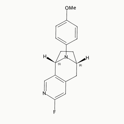 COc1ccc(N2[C@@H]3CC[C@H]2c2cnc(F)cc2C3)cc1